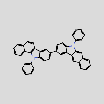 c1ccc(-n2c3ccc(-c4ccc5c(c4)c4ccc6ccccc6c4n5-c4ccccc4)cc3c3cc4ccccc4cc32)cc1